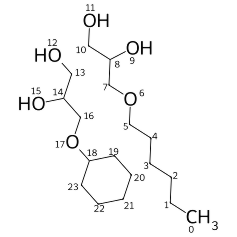 CCCCCCOCC(O)CO.OCC(O)COC1CCCCC1